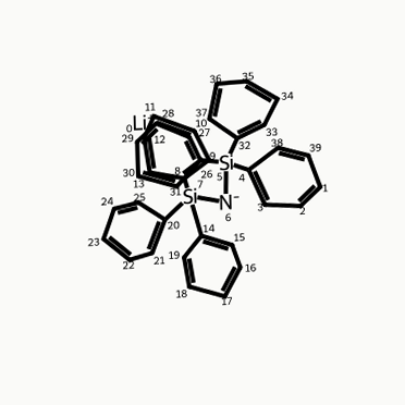 [Li+].c1ccc([Si]([N-][Si](c2ccccc2)(c2ccccc2)c2ccccc2)(c2ccccc2)c2ccccc2)cc1